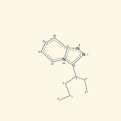 CCCC(CC)c1nnc2ccccn12